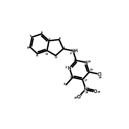 Cc1nc(NC2Cc3ccccc3C2)nc(Cl)c1[N+](=O)[O-]